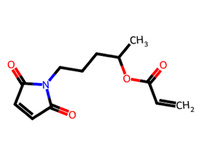 C=CC(=O)OC(C)CCCN1C(=O)C=CC1=O